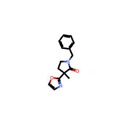 CC1(c2ncco2)CCN(Cc2ccccc2)C1=O